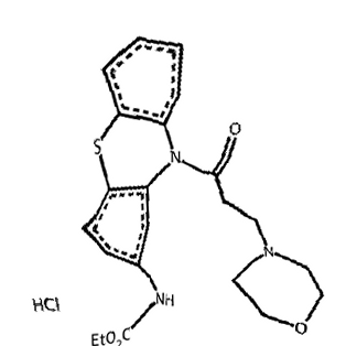 CCOC(=O)Nc1ccc2c(c1)N(C(=O)CCN1CCOCC1)c1ccccc1S2.Cl